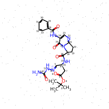 CC(C)(C)OC(=O)C[C@@H](/C=N/NC(N)=O)NC(=O)C1CCc2ncc(NC(=O)c3ccccc3)c(=O)n21